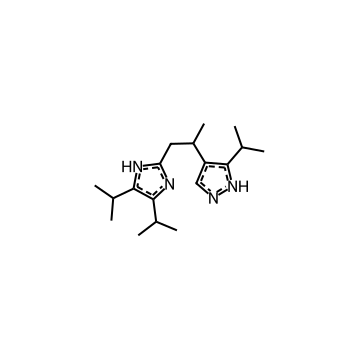 CC(C)c1nc(CC(C)c2cn[nH]c2C(C)C)[nH]c1C(C)C